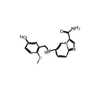 COc1ccc(O)cc1CNc1ccc2ncc(C(N)=O)n2c1